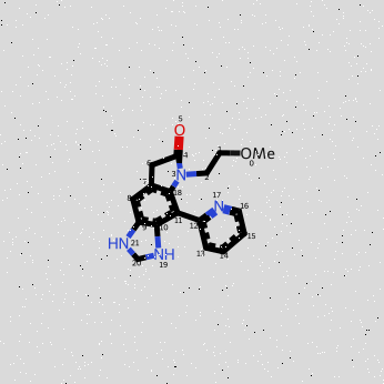 COCCN1C(=O)Cc2cc3c(c(-c4ccccn4)c21)NCN3